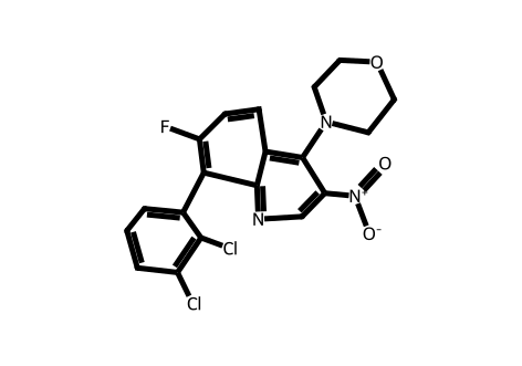 O=[N+]([O-])c1cnc2c(-c3cccc(Cl)c3Cl)c(F)ccc2c1N1CCOCC1